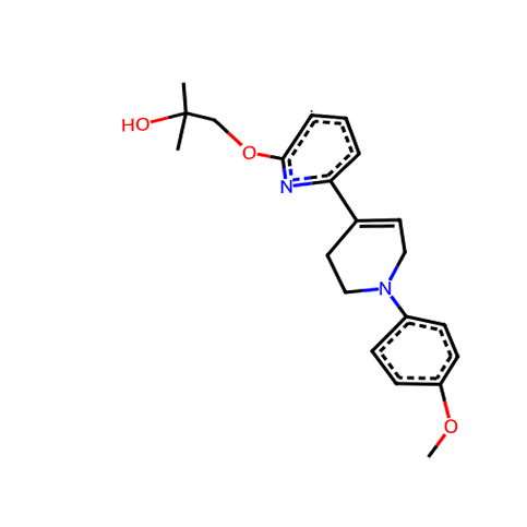 COc1ccc(N2CC=C(c3cc[c]c(OCC(C)(C)O)n3)CC2)cc1